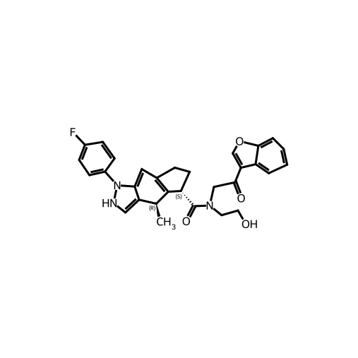 C[C@H]1C2=CNN(c3ccc(F)cc3)C2=CC2=C1[C@@H](C(=O)N(CCO)CC(=O)c1coc3ccccc13)CC2